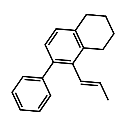 CC=Cc1c(-c2ccccc2)ccc2c1CCCC2